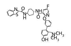 CN(C)Cc1cc(O)ccc1-c1cccc(Oc2ncc(F)cc2C(=O)N[C@H]2CC[C@H](NC(=O)c3nc4ccccc4s3)CC2)c1